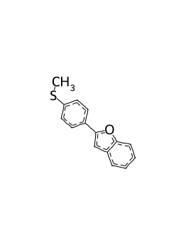 CSc1ccc(-c2cc3ccccc3o2)cc1